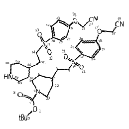 CC(C)(C)OC(=O)N1CCC(CCS(=O)(=O)c2ccc(OCC#N)cc2)CC1.N#CCOc1ccc(S(=O)(=O)CCC2CCNCC2)cc1